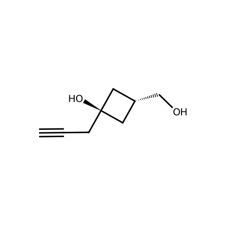 C#CC[C@]1(O)C[C@H](CO)C1